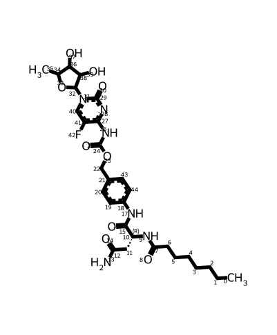 CCCCCCCC(=O)N[C@H](CC(N)=O)C(=O)Nc1ccc(COC(=O)Nc2nc(=O)n(C3OC(C)C(O)C3O)cc2F)cc1